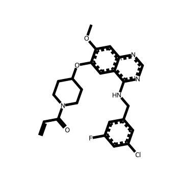 C=CC(=O)N1CCC(Oc2cc3c(NCc4cc(F)cc(Cl)c4)ncnc3cc2OC)CC1